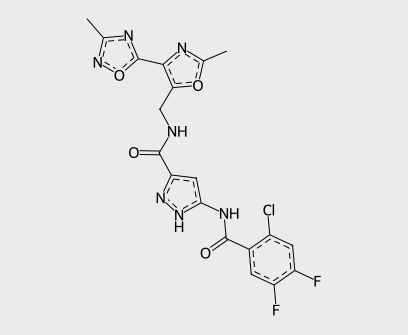 Cc1noc(-c2nc(C)oc2CNC(=O)c2cc(NC(=O)c3cc(F)c(F)cc3Cl)[nH]n2)n1